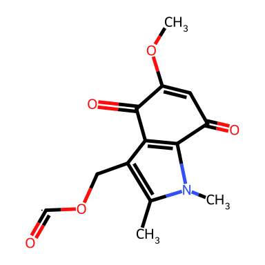 COC1=CC(=O)c2c(c(CO[C]=O)c(C)n2C)C1=O